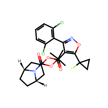 CC(C)(C)OC(=O)N1[C@@H]2CC[C@H]1CC(OC(=O)c1c(-c3c(Cl)cccc3Cl)noc1C1(F)CC1)C2